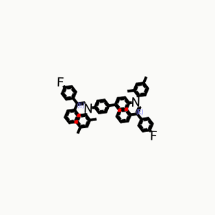 Cc1ccc(N(/C=C(\c2ccccc2)c2ccc(F)cc2)c2ccc(-c3ccc(N(/C=C(\c4ccccc4)c4ccc(F)cc4)c4ccc(C)cc4C)cc3)cc2)c(C)c1